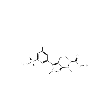 CC1c2nn(C)c(-c3cc(Cl)cc(S(N)(=O)=O)c3)c2CCN1C(=O)OC(C)(C)C